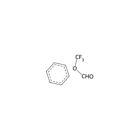 O=COC(F)(F)F.c1ccccc1